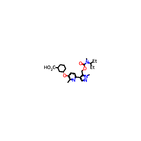 CCC(CC)N(C)C(=O)OCc1c(-c2ccc(O[C@H]3CCCC(C(=O)O)C3)c(C)n2)cnn1C